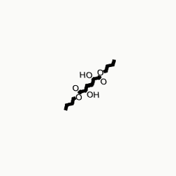 CCCCOC(=O)C(O)C=CC(O)C(=O)OCCCC